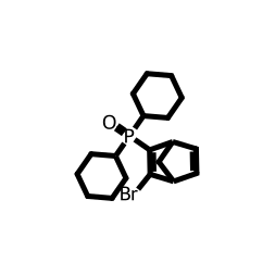 O=P(C1=C(Br)C2C=CC1C2)(C1CCCCC1)C1CCCCC1